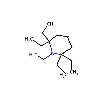 CCN1C(CC)(CC)C[CH]CC1(CC)CC